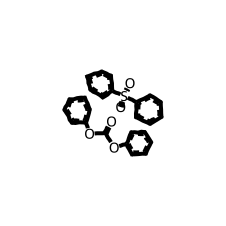 O=C(Oc1ccccc1)Oc1ccccc1.O=S(=O)(c1ccccc1)c1ccccc1